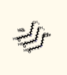 CCCCCCCC/C=C\CCCCCCCC(=O)O.CCCCCCCC/C=C\CCCCCCCC(=O)O.CCCCCCCC/C=C\CCCCCCCC(=O)O.Cl.Cl.Cl.[Fe]